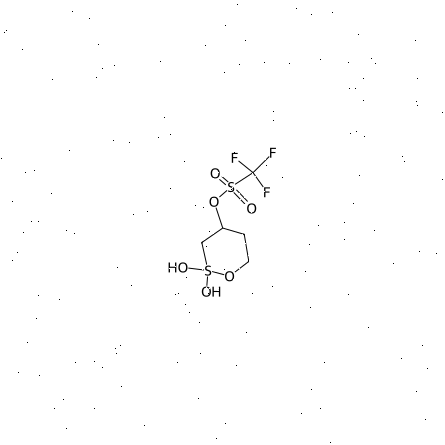 O=S(=O)(OC1CCOS(O)(O)C1)C(F)(F)F